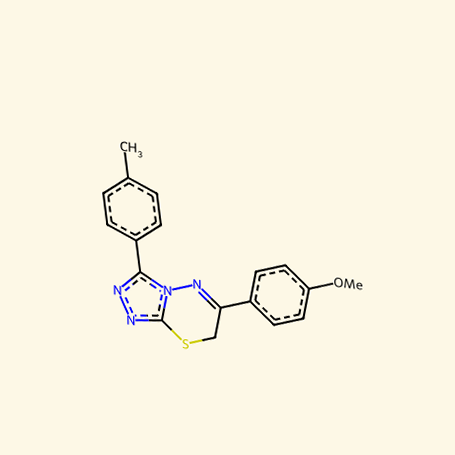 COc1ccc(C2=Nn3c(nnc3-c3ccc(C)cc3)SC2)cc1